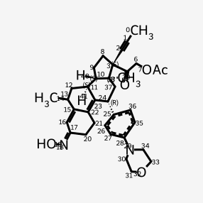 CC#C[C@]1(C(=O)COC(C)=O)CC[C@H]2[C@@H]3CC(C)C4=CC(=NO)CCC4=C3[C@@H](c3ccc(N4CCOCC4)cc3)C[C@@]21C